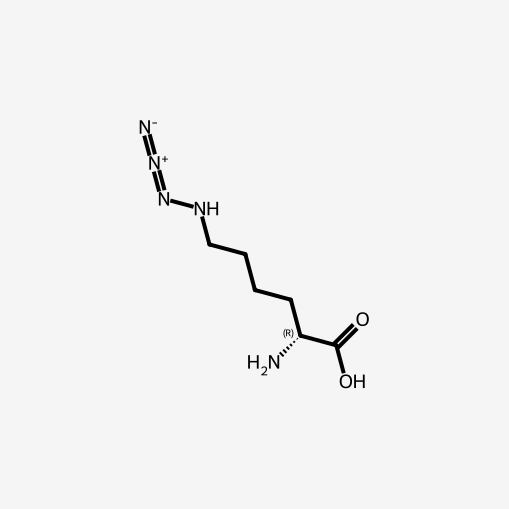 [N-]=[N+]=NNCCCC[C@@H](N)C(=O)O